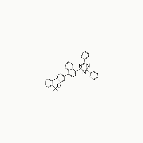 CC1(C)Oc2cc(-c3ccc(-c4nc(-c5ccccc5)nc(-c5ccccc5)n4)c4ccccc34)ccc2-c2ccccc21